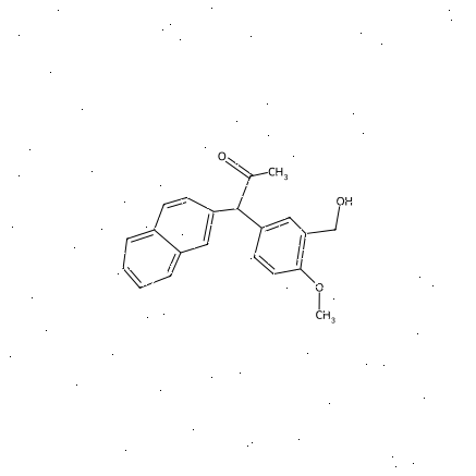 COc1ccc(C(C(C)=O)c2ccc3ccccc3c2)cc1CO